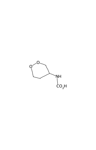 O=C(O)NC1CCOOC1